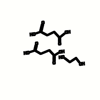 O=C(O)CCC(=O)O.O=C(O)CCC(=O)O.OCCO